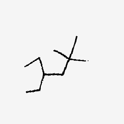 [CH2]C(C)(C)CC(CC)CC